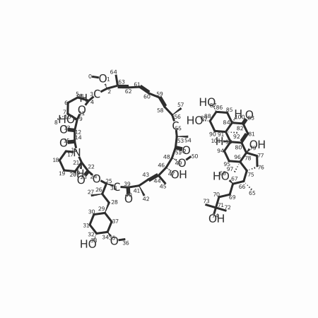 CO[C@H]1C[C@@H]2CC[C@@H](C)[C@@](O)(O2)C(=O)C(=O)N2CCCC[C@H]2C(=O)O[C@H]([C@H](C)C[C@@H]2CC[C@@H](O)[C@H](OC)C2)CC(=O)[C@H](C)/C=C(\C)[C@@H](O)[C@@H](OC)C(=O)[C@H](C)C[C@H](C)/C=C/C=C/C=C/1C.C[C@H]([C@H](O)CCC(C)(C)O)[C@H]1CC[C@@]2(O)C3=CC(=O)[C@@H]4C[C@@H](O)[C@@H](O)C[C@]4(C)[C@H]3CC[C@]12C